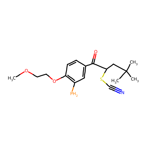 COCCOc1ccc(C(=O)C(CC(C)(C)C)SC#N)cc1P